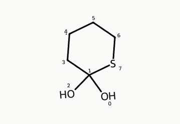 OC1(O)C[CH]CCS1